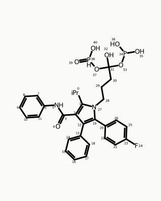 CC(C)c1c(C(=O)Nc2ccccc2)c(-c2ccccc2)c(-c2ccc(F)cc2)n1CCCC(O)(OP(O)O)O[PH](=O)O